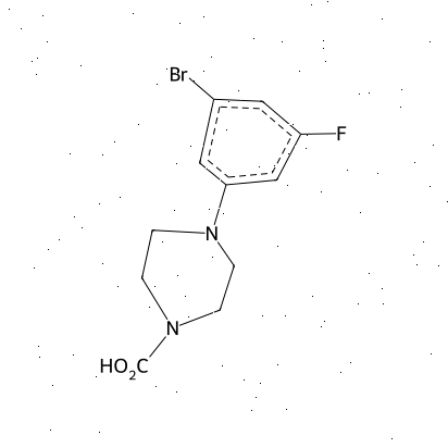 O=C(O)N1CCN(c2cc(F)cc(Br)c2)CC1